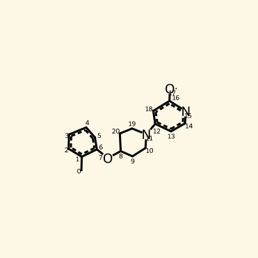 Cc1ccccc1OC1CCN(c2ccnc([O])c2)CC1